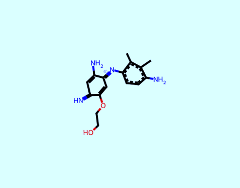 Cc1c(N)ccc(/N=C2\C=C(OCCO)C(=N)C=C2N)c1C